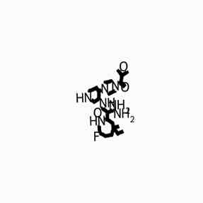 CCC1(C)CCC(F)CNC(C(C(=O)NC2CNCCC2N2CCN(C(=O)C3COC3)CC2)C(N)N)C1